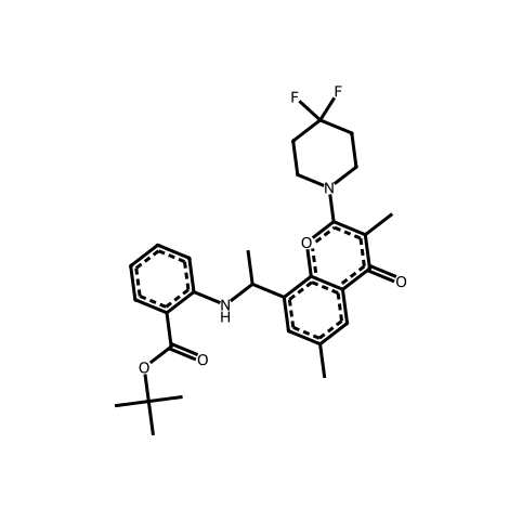 Cc1cc(C(C)Nc2ccccc2C(=O)OC(C)(C)C)c2oc(N3CCC(F)(F)CC3)c(C)c(=O)c2c1